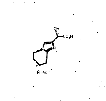 CC(=O)N[C@@H]1CCn2cc(C(O)C(=O)O)nc2C1